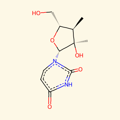 C[C@@H]1[C@@H](CO)O[C@@H](n2ccc(=O)[nH]c2=O)[C@]1(C)O